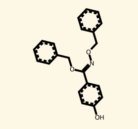 Oc1ccc(C(=NOCc2ccccc2)OCc2ccccc2)cc1